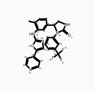 Cc1ccc(C2CNC(=O)N2c2cccc(C(F)(F)F)c2)cc1Nc1ncc(-c2ccncc2)o1